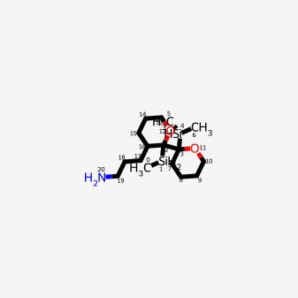 C[SiH2]C1(C2([SiH](C)C)CCCCO2)OCCCC1CCCN